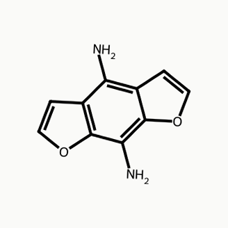 Nc1c2ccoc2c(N)c2occc12